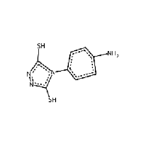 Nc1ccc(-n2c(S)nnc2S)cc1